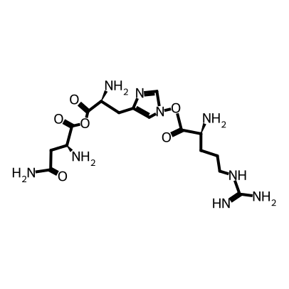 N=C(N)NCCC[C@H](N)C(=O)On1cnc(C[C@H](N)C(=O)OC(=O)[C@@H](N)CC(N)=O)c1